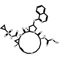 CC(C)(C)OC(=O)N[C@H]1CCCOC/C=C\[C@@H]2C[C@@]2(C(=O)NS(=O)(=O)C2CC2)NC(=O)[C@@H]2CC(Oc3nccc4ccccc34)CN2C1=O